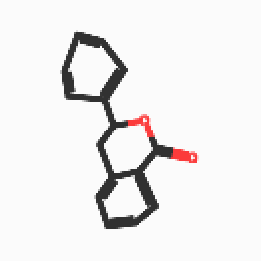 O=C1OC(c2ccccc2)Cc2ccccc21